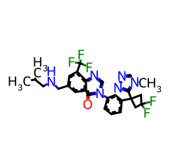 CC(C)CNCc1cc(C(F)(F)F)c2ncn(-c3cccc(C4(c5nncn5C)CC(F)(F)C4)c3)c(=O)c2c1